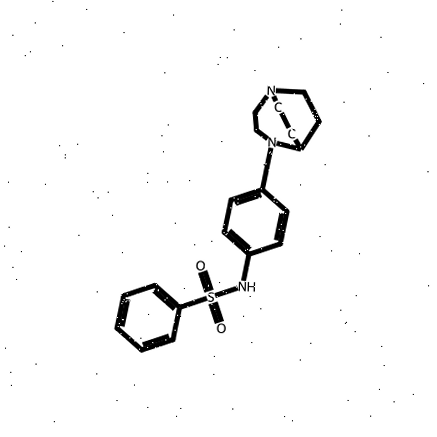 O=S(=O)(Nc1ccc(N2CCN3CCC2CC3)cc1)c1ccccc1